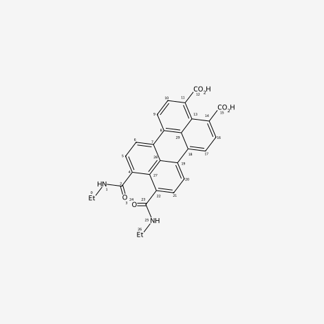 CCNC(=O)c1ccc2c3ccc(C(=O)O)c4c(C(=O)O)ccc(c5ccc(C(=O)NCC)c1c25)c43